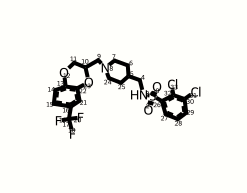 O=S(=O)(NCC1CCN(CC2COc3ccc(C(F)(F)F)cc3O2)CC1)c1cccc(Cl)c1Cl